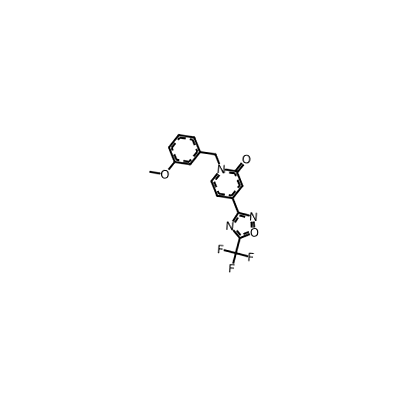 COc1cccc(Cn2ccc(-c3noc(C(F)(F)F)n3)cc2=O)c1